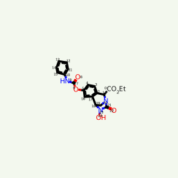 CCOC(=O)C1c2ccc(OC(=O)Nc3ccccc3)cc2C2CN1C(=O)N2O